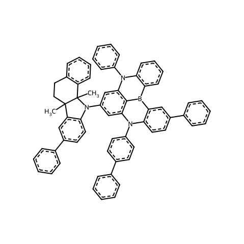 CC12CCc3ccccc3C1(C)N(c1cc3c4c(c1)N(c1ccc(-c5ccccc5)cc1)c1ccc(-c5ccccc5)cc1B4c1ccccc1N3c1ccccc1)c1ccc(-c3ccccc3)cc12